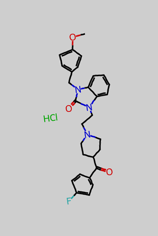 COc1ccc(Cn2c(=O)n(CCN3CCC(C(=O)c4ccc(F)cc4)CC3)c3ccccc32)cc1.Cl